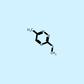 CSc1n[c]c(C)nn1